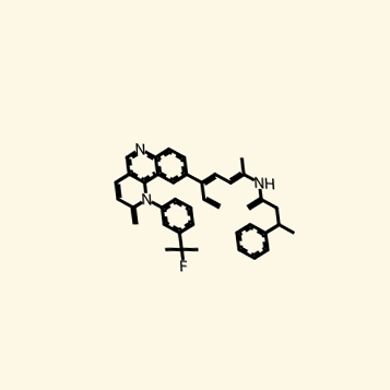 C=C/C(=C\C=C(/C)NC(=C)CC(C)c1ccccc1)c1ccc2ncc3c(c2c1)N(c1cccc(C(C)(C)F)c1)C(=C)C=C3